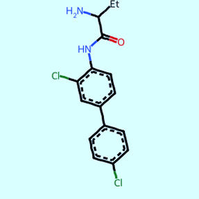 CCC(N)C(=O)Nc1ccc(-c2ccc(Cl)cc2)cc1Cl